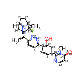 C=C(c1ccc(-c2ccc(-c3nccc(=O)n3C)cc2O)nn1)[C@@H]1C[C@H]2CC[C@](C)(N2)[C@H]1F